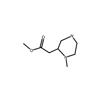 COC(=O)CC1C[N]CCN1C